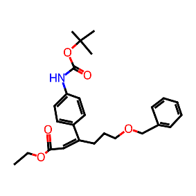 CCOC(=O)C=C(CCCOCc1ccccc1)c1ccc(NC(=O)OC(C)(C)C)cc1